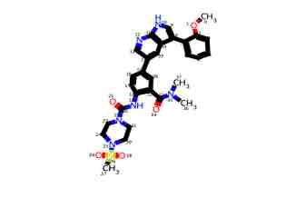 COc1ccccc1-c1c[nH]c2ncc(-c3ccc(NC(=O)N4CCN(S(C)(=O)=O)CC4)c(C(=O)N(C)C)c3)cc12